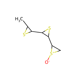 CC1SC1C1SC1C1C[S+]1[O-]